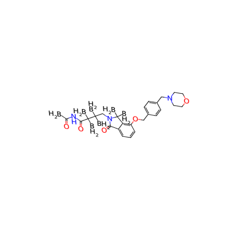 BC(=O)NC(=O)C(B)(B)C(B)(B)CN1C(=O)c2cccc(OCc3ccc(CN4CCOCC4)cc3)c2C1(B)B